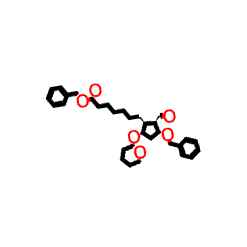 O=C[C@H]1[C@@H](CCCCCCC(=O)OCc2ccccc2)[C@@H](OC2CCCCO2)C[C@H]1OCc1ccccc1